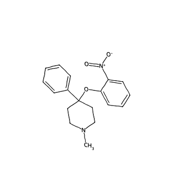 CN1CCC(Oc2ccccc2[N+](=O)[O-])(c2ccccc2)CC1